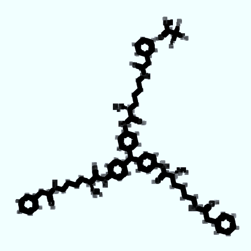 N[C@H](CCCCNC(=O)Cc1ccccc1)C(=O)Nc1ccc(C(c2ccc(NC(=O)[C@H](N)CCCCNC(=O)Cc3ccccc3)cc2)c2ccc(NC(=O)[C@H](N)CCCCNC(=O)Cc3ccccc3)cc2)cc1.O=C(O)C(F)(F)F